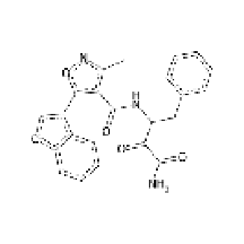 Cc1noc(-c2coc3ccccc23)c1C(=O)NC(Cc1ccccc1)C(=O)C(N)=O